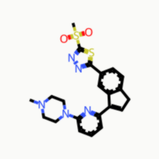 CN1CCN(c2cccc(C3=CCc4ccc(-c5nnc(S(C)(=O)=O)s5)cc43)n2)CC1